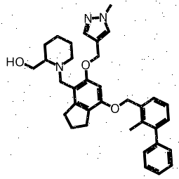 Cc1c(COc2cc(OCc3cnn(C)c3)c(CN3CCCCC3CO)c3c2CCC3)cccc1-c1ccccc1